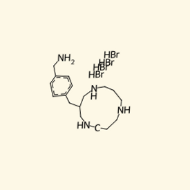 Br.Br.Br.Br.NCc1ccc(CC2CNCCCNCCCNC2)cc1